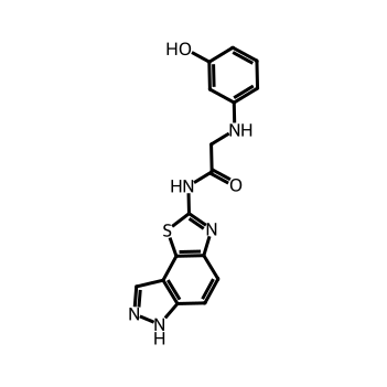 O=C(CNc1cccc(O)c1)Nc1nc2ccc3[nH]ncc3c2s1